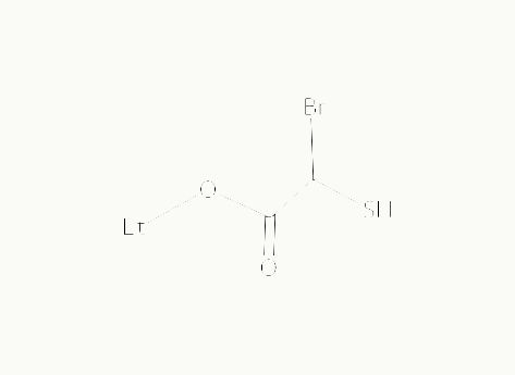 CCOC(=O)C(S)Br